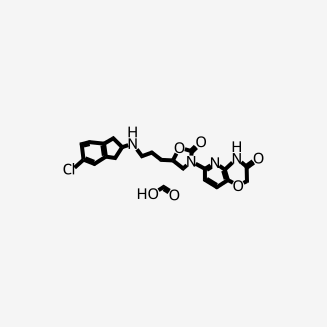 O=C1COc2ccc(N3CC(CCCNC4Cc5ccc(Cl)cc5C4)OC3=O)nc2N1.O=CO